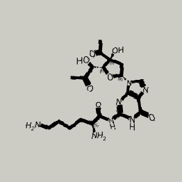 CC(=O)C(O)[C@H]1O[C@@H](n2cnc3c(=O)[nH]c(NC(=O)[C@@H](N)CCCCN)nc32)C[C@@]1(O)C(C)=O